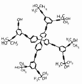 CC(C)(O)C#Cc1cc(C#CO)cc(C#Cc2ccc(C(c3ccc(C#Cc4cc(C#CC(C)(C)O)cc(C#CC(C)(C)O)c4)cc3)(c3ccc(C#Cc4cc(C#CC(C)(C)O)cc(C#CC(C)(C)O)c4)cc3)c3ccc(C#Cc4cc(C#CC(C)(C)O)cc(C#CC(C)(C)O)c4)cc3)cc2)c1